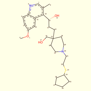 COc1ccc2ncc(C)c([C@H](O)CCC3(CO)CCN(CCSC4CCCC4)CC3)c2c1